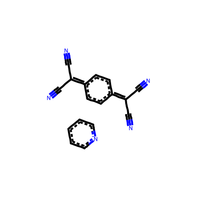 N#CC(C#N)=c1ccc(=C(C#N)C#N)cc1.c1ccncc1